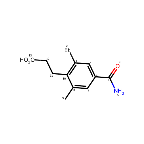 CCc1cc(C(N)=O)cc(C)c1CCC(=O)O